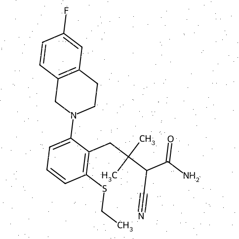 CCSc1cccc(N2CCc3cc(F)ccc3C2)c1CC(C)(C)C(C#N)C(N)=O